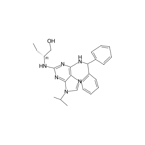 CC[C@H](CO)Nc1nc(NC(c2ccccc2)c2ccccc2)c2ncn(C(C)C)c2n1